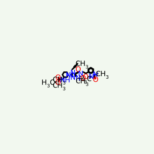 CC#CCn1c(N2CCCC(NC(=O)OC(C)(C)C)C2)nc2c1c(=O)n(CC(=O)c1cccc3c1n(C)c(=O)n3C)c(=O)n2C